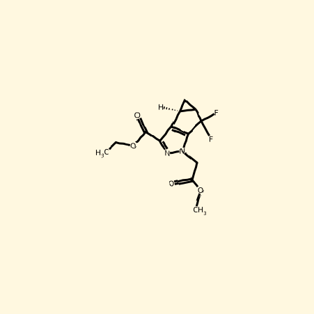 CCOC(=O)c1nn(CC(=O)OC)c2c1[C@H]1CC1C2(F)F